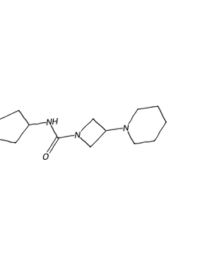 O=C(NC1CCCC1)N1CC(N2CCCCC2)C1